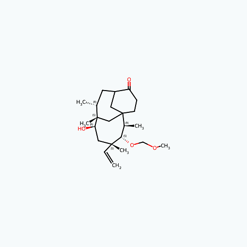 C=C[C@]1(C)C[C@@H](O)[C@@]2(C)CC3(CCC(=O)C(C[C@H]2C)C3)[C@@H](C)[C@@H]1OCOC